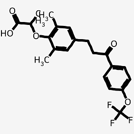 Cc1cc(CCC(=O)c2ccc(OC(F)(F)F)cc2)cc(C)c1OC(C)C(=O)O